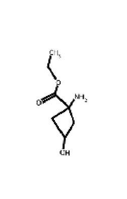 CCOC(=O)C1(N)CC(O)C1